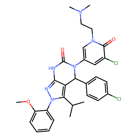 COc1ccccc1-n1nc2c(c1C(C)C)C(c1ccc(Cl)cc1)N(c1cc(Cl)c(=O)n(CCN(C)C)c1)C(=O)N2